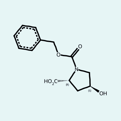 O=C(O)[C@H]1C[C@H](O)CN1C(=O)OCc1ccccc1